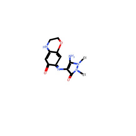 CCn1c(N)c(N=C2C=C3OCCNC3=CC2=O)c(=O)n1CC